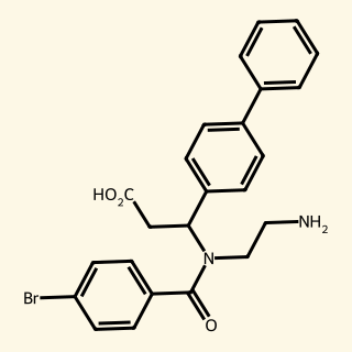 NCCN(C(=O)c1ccc(Br)cc1)C(CC(=O)O)c1ccc(-c2ccccc2)cc1